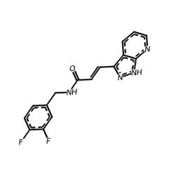 O=C(C=Cc1n[nH]c2ncccc12)NCc1ccc(F)c(F)c1